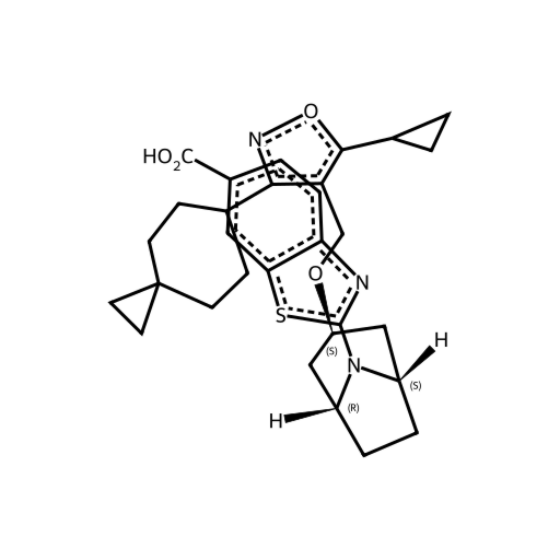 O=C(O)c1ccc2nc(N3[C@@H]4CC[C@H]3C[C@H](OCc3c(C5CCC6(CC5)CC6)noc3C3CC3)C4)sc2c1